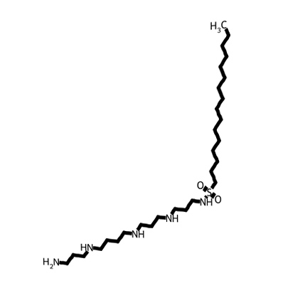 CCCCCCCCCCCCCCCCS(=O)(=O)NCCCNCCCNCCCCNCCCN